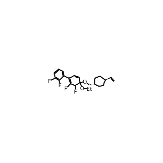 C=C[C@H]1CC[C@H](COC2(OCC)C=CC(c3cccc(F)c3F)=C(F)C2F)CC1